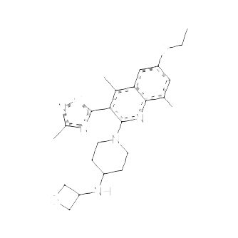 CCOc1cc(F)c2nc(N3CCC(NC4COC4)CC3)c(-c3nc(C)no3)c(C)c2c1